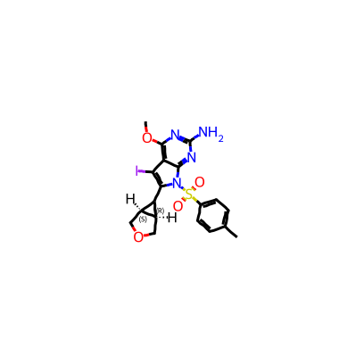 COc1nc(N)nc2c1c(I)c(C1[C@H]3COC[C@@H]13)n2S(=O)(=O)c1ccc(C)cc1